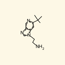 CC(C)(C)c1cc2c(cn1)ncn2CCN